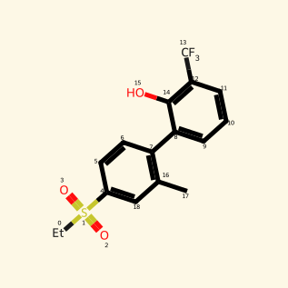 CCS(=O)(=O)c1ccc(-c2cccc(C(F)(F)F)c2O)c(C)c1